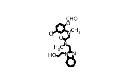 CN(Cc1nc2ccccc2n1CCO)C(=O)CN(C)c1cc(Cl)ccc1OC=O